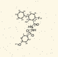 COc1ccc(S(=O)(=O)NNC(=O)c2c(F)ccc(-c3ccccc3)c2C)cc1